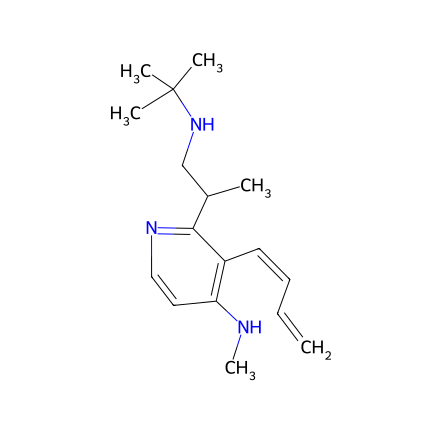 C=C/C=C\c1c(NC)ccnc1C(C)CNC(C)(C)C